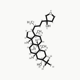 C[C@H](CCC1(O)CCOC1)[C@H]1CC[C@H]2[C@@H]3CC[C@H]4C[C@](O)(C(F)(F)F)CC[C@]4(C)[C@H]3CC[C@]12C